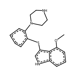 COc1cccc2[nH]cc(Sc3ccccc3N3CCNCC3)c12